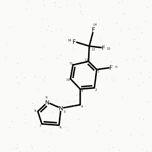 Fc1cc(Cn2cccn2)ccc1C(F)(F)F